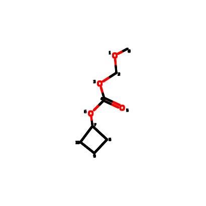 COCOC(=O)OC1CCC1